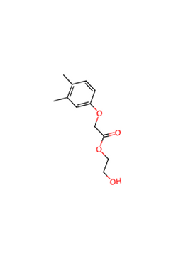 Cc1ccc(OCC(=O)OCCO)cc1C